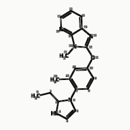 CCC1NC=CN1c1ccc(Oc2nc3cccnc3n2C)cc1C